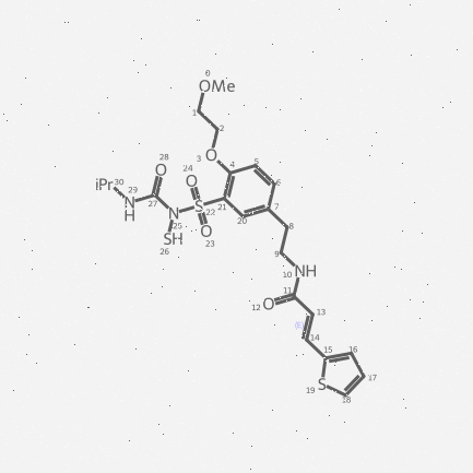 COCCOc1ccc(CCNC(=O)/C=C/c2cccs2)cc1S(=O)(=O)N(S)C(=O)NC(C)C